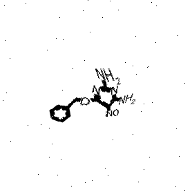 Nc1nc(N)c(N=O)c(OCc2ccccc2)n1